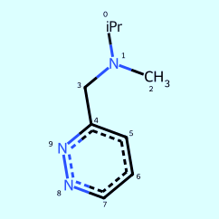 CC(C)N(C)Cc1cccnn1